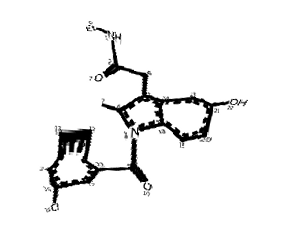 CCNC(=O)Cc1c(C)n(C(=O)c2cccc(Cl)c2)c2ccc(O)cc12